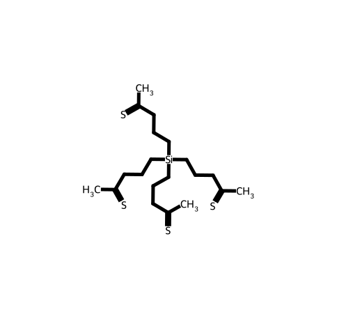 CC(=S)CCC[Si](CCCC(C)=S)(CCCC(C)=S)CCCC(C)=S